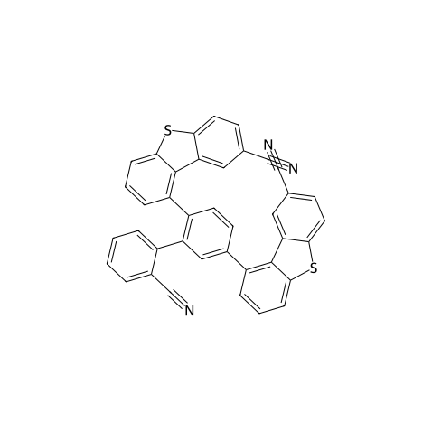 N#Cc1ccc2sc3cccc(-c4ccc(-c5cccc6sc7ccc(C#N)cc7c56)c(-c5ccccc5C#N)c4)c3c2c1